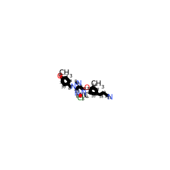 COc1ccc(Cn2cnc3c(Oc4c(C)cc(/C=C/C#N)cc4C)nc(Cl)nc32)cc1